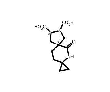 O=C(O)[C@@H]1C[C@@]2(CCC3(CC3)NC2=O)CN1C(=O)O